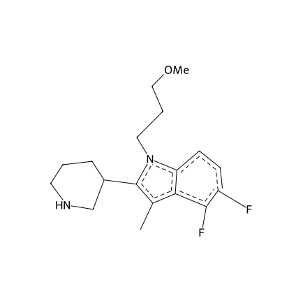 COCCCn1c(C2CCCNC2)c(C)c2c(F)c(F)ccc21